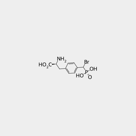 N[C@@H](Cc1ccc(C(Br)P(=O)(O)O)cc1)C(=O)O